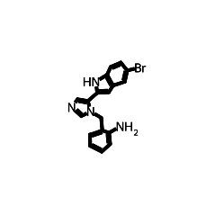 Nc1ccccc1Cn1cncc1-c1cc2cc(Br)ccc2[nH]1